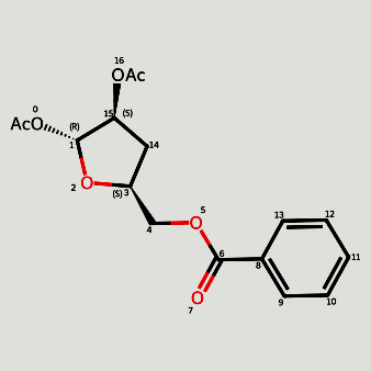 CC(=O)O[C@H]1O[C@H](COC(=O)c2ccccc2)C[C@@H]1OC(C)=O